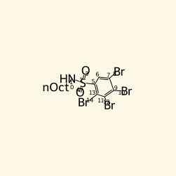 CCCCCCCCNS(=O)(=O)c1cc(Br)c(Br)c(Br)c1Br